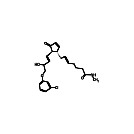 CNC(=O)CCCC=CC[C@H]1C=CC(=O)[C@@H]1C=CC(O)COc1cccc(Cl)c1